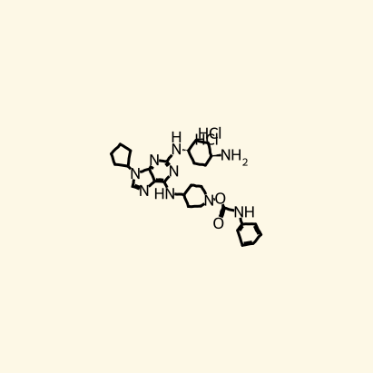 Cl.Cl.N[C@H]1CC[C@H](Nc2nc(NC3CCN(OC(=O)Nc4ccccc4)CC3)c3ncn(C4CCCC4)c3n2)CC1